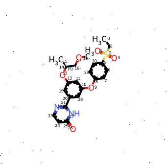 CCS(=O)(=O)c1ccc(Oc2cc(O[C@@H](C)COC)cc(-c3nccc(=O)[nH]3)c2)cc1